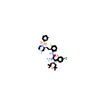 CC1(C)CC([C@H](c2ccc(Cl)cc2)[C@H](N)C(=O)Nc2cccc(F)c2CC[C@H]2CNCCN2S(=O)(=O)c2ccccc2)CC(C)(C)O1